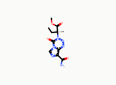 CC[C@@](C)(C(=O)OC)n1nnc2c(C(N)=O)ncn2c1=O